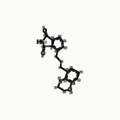 O=C1NC(=O)c2c(CCCc3cccc4c3SCCO4)cccc21